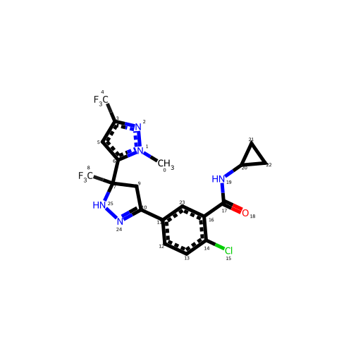 Cn1nc(C(F)(F)F)cc1C1(C(F)(F)F)CC(c2ccc(Cl)c(C(=O)NC3CC3)c2)=NN1